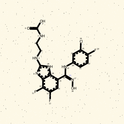 O=C(O)NCCNc1nc2c(F)c(F)cc(/C(=N\O)Nc3ccc(F)c(Cl)c3)c2[nH]1